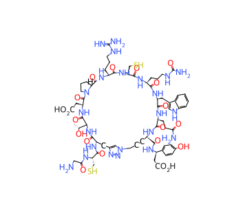 C[C@@H](O)[C@@H]1NC(=O)[C@@H](NC(=O)[C@H](CS)NC(=O)CN)Cc2cn(nn2)CCC[C@H](C(=O)N[C@H](CC(=O)O)c2ccc(O)cc2)NC(=O)[C@H](CCC(N)=O)NC(=O)[C@H](Cc2c[nH]c3ccccc23)NC(=O)[C@H](CCCNC(N)=O)NC(=O)[C@H](CS)NC(=O)[C@H](CCCNC(=N)N)NC(=O)[C@@H]2CCCN2C(=O)[C@H](CC(=O)O)NC1=O